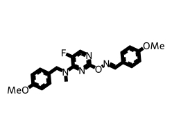 COc1ccc(C=NOc2ncc(F)c(N(C)Cc3ccc(OC)cc3)n2)cc1